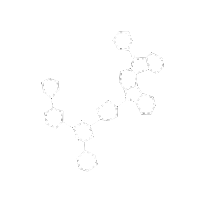 c1ccc(-c2cccc(-c3nc(-c4ccccc4)cc(-c4ccc(-n5c6ccccc6c6c7c8ccccc8n(-c8ccccc8)c7ccc65)cc4)n3)c2)cc1